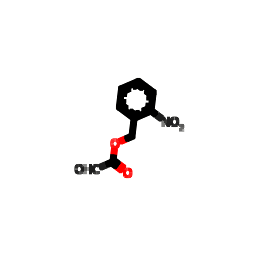 O=CC(=O)OCc1ccccc1[N+](=O)[O-]